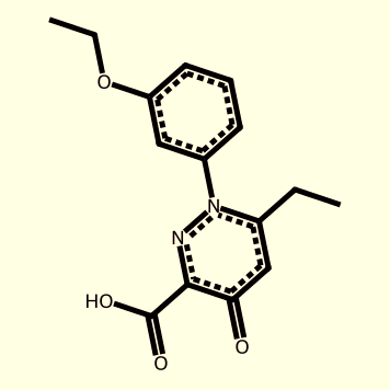 CCOc1cccc(-n2nc(C(=O)O)c(=O)cc2CC)c1